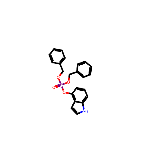 O=P(OCc1ccccc1)(OCc1ccccc1)Oc1cccc2[nH]ccc12